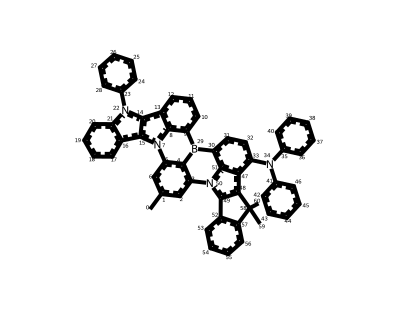 Cc1cc2c3c(c1)-n1c4c(cccc4c4c1c1ccccc1n4-c1ccccc1)B3c1ccc(N(c3ccccc3)c3ccccc3)c3c4c(n-2c13)-c1ccccc1C4(C)C